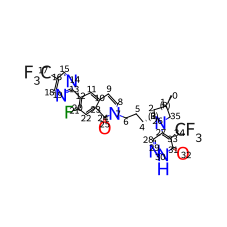 C[C@@H]1C[C@@H](CCCn2ccc3cc(-c4ncc(C(F)(F)F)cn4)c(F)cc3c2=O)N(c2cn[nH]c(=O)c2C(F)(F)F)C1